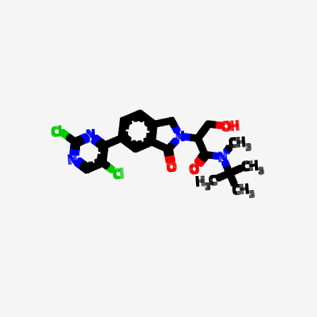 CN(C(=O)C(CO)N1Cc2ccc(-c3nc(Cl)ncc3Cl)cc2C1=O)C(C)(C)C